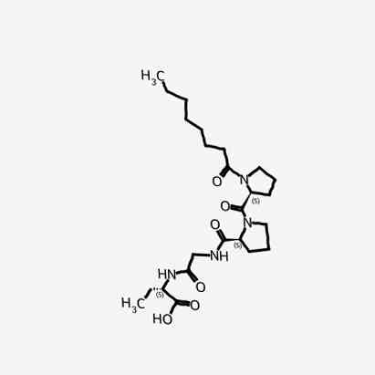 CCCCCCCC(=O)N1CCC[C@H]1C(=O)N1CCC[C@H]1C(=O)NCC(=O)N[C@@H](CC)C(=O)O